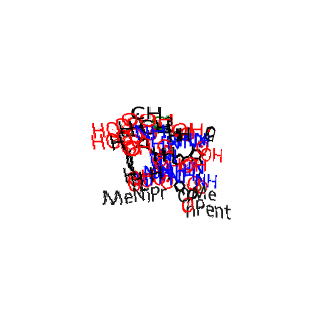 CCCCCOc1ccc(S(=O)(=O)NCCNCc2c(O)cc3c(c2O)-c2cc(ccc2O)[C@H]2NC(=O)[C@@H]4NC(=O)[C@H](CC(=O)NC(=O)Nc5ccc(OC)cc5)NC(=O)[C@H](NC(=O)[C@@H](CC(C)C)NC)[C@H](O)c5ccc6c(c5)C(O)[C@H]5O[C@@H](Oc7c(cc4cc7O6)Oc4ccc(cc4Cl)[C@@H](O)[C@H](NC2=O)C(=O)N[C@@H]3C(=O)NC2C3CC4CC(C3)CC2C4)[C@H](O[C@H]2C[C@](C)(N)[C@H](O)[C@H](C)O2)[C@@H](O)[C@@H]5O)cc1